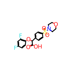 O=C(O)C(Oc1ccc(F)cc1F)c1ccc(S(=O)(=O)N2CCOCC2)cc1